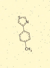 Cc1ccc(-c2cscn2)cc1